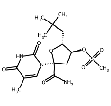 Cc1cn([C@@]2(C(N)=O)C[C@H](OS(C)(=O)=O)[C@@H](CC(C)(C)C)O2)c(=O)[nH]c1=O